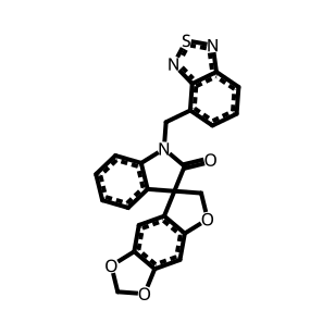 O=C1N(Cc2cccc3nsnc23)c2ccccc2C12COc1cc3c(cc12)OCO3